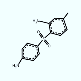 Cc1ccc(S(=O)(=O)c2ccc(N)cc2)c(N)c1